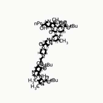 CCCC(O)c1cnc2c(c1)N(C(=O)CN1C[C@@H](C)N(C(=O)OC(C)(C)C)C[C@@H]1CN1CCN(c3ncc(C(=O)N4CCN(CCCOc5cc6ncnc(Nc7c(C)c(C)nn7C(=O)OC(C)(C)C)c6cc5S(=O)(=O)C(C)(C)C)CC4)cn3)C[C@H]1C)CC2(C)C